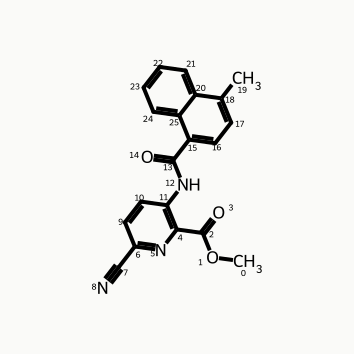 COC(=O)c1nc(C#N)ccc1NC(=O)c1ccc(C)c2ccccc12